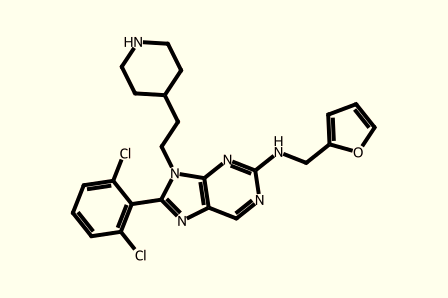 Clc1cccc(Cl)c1-c1nc2cnc(NCc3ccco3)nc2n1CCC1CCNCC1